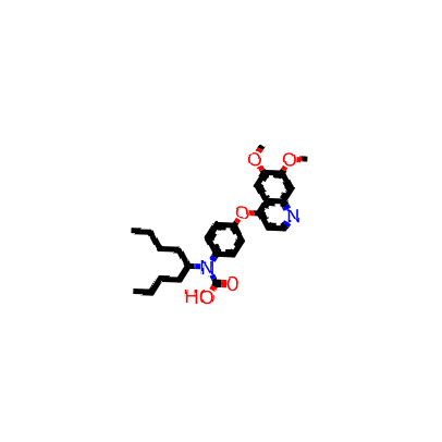 CCCCC(CCCC)N(C(=O)O)c1ccc(Oc2ccnc3cc(OC)c(OC)cc23)cc1